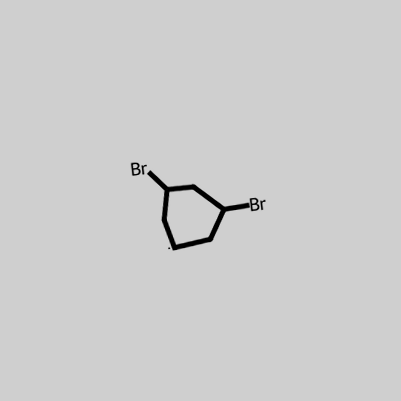 BrC1C[CH]CC(Br)C1